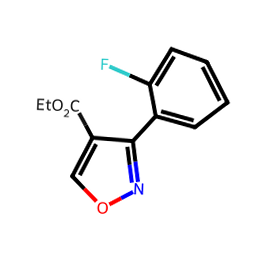 CCOC(=O)c1conc1-c1ccccc1F